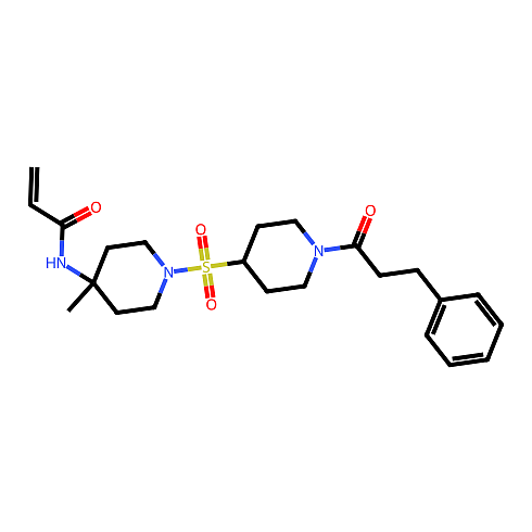 C=CC(=O)NC1(C)CCN(S(=O)(=O)C2CCN(C(=O)CCc3ccccc3)CC2)CC1